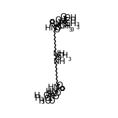 COC(CNCCCCCCCCCCCC(=O)NC(C(=O)N[C@@H]1C(=O)N2C(C(=O)O)C(C)(C)S[C@H]12)c1ccccc1)CNCCCCCCCCCCCC(=O)NC(C(=O)N[C@]1(C)C(=O)N2C(C(=O)O)C(C)(C)S[C@@]21C)c1ccccc1